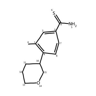 Cc1cc(C(N)=S)ccc1C1CCCOC1